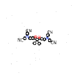 N#Cc1ccc(N(c2ccc(C#N)cc2)c2ccc3cc4c(cc3c2)oc2c3oc5cc6cc(N(c7ccc(C#N)cc7)c7ccc(C#N)cc7)ccc6cc5c3c(-c3ccccc3)c(-c3ccccc3)c42)cc1